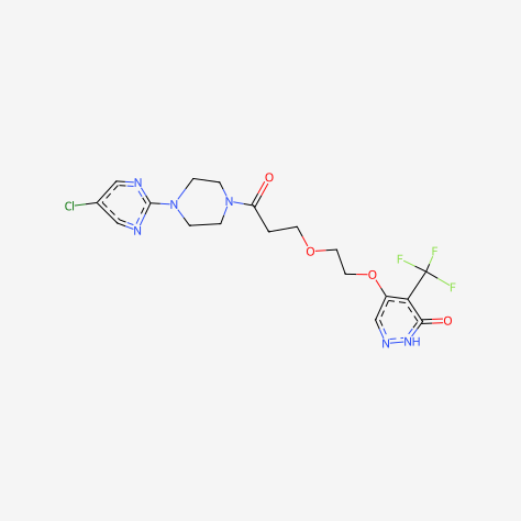 O=C(CCOCCOc1cn[nH]c(=O)c1C(F)(F)F)N1CCN(c2ncc(Cl)cn2)CC1